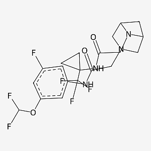 O=C(CN1CC2CC(C1)N2CC(=O)NC1(C(F)(F)F)CC1)Nc1cc(F)cc(OC(F)F)c1